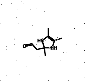 CC1=C(C)NC(C)(CC=O)N1